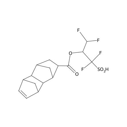 O=C(OC(C(F)F)C(F)(F)S(=O)(=O)O)C1CC2CC1C1C3C=CC(C3)C21